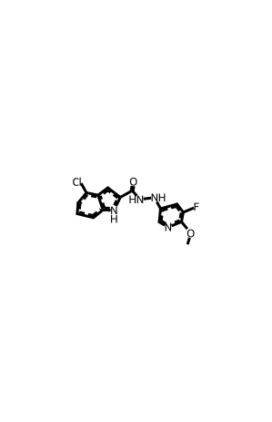 COc1ncc(NNC(=O)c2cc3c(Cl)cccc3[nH]2)cc1F